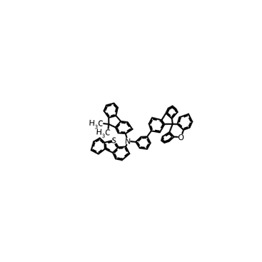 CC1(C)c2ccccc2-c2ccc(N(c3cccc(-c4ccc5c(c4)C4(c6ccccc6Oc6ccccc64)c4ccccc4-5)c3)c3cccc4c3sc3ccccc34)cc21